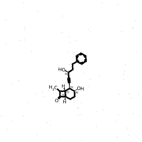 CC1C(=O)[C@H]2CC[C@@H](O)[C@H](C#C[C@@H](O)CCc3ccccc3)[C@@H]12